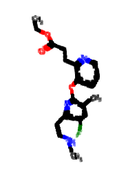 CCOC(=O)CCc1ncccc1Oc1nc(/C=C\NC)c(F)cc1C